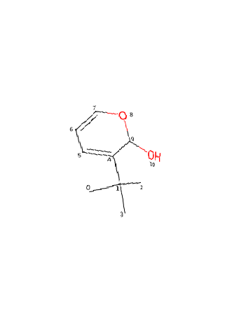 CC(C)(C)C1=CC=COC1O